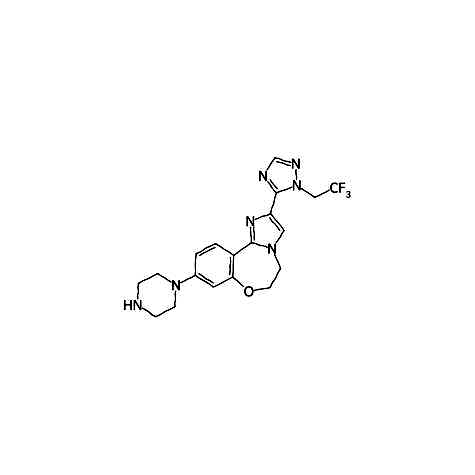 FC(F)(F)Cn1ncnc1-c1cn2c(n1)-c1ccc(N3CCNCC3)cc1OCC2